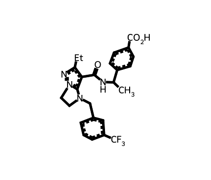 CCc1nn2c(c1C(=O)NC(C)c1ccc(C(=O)O)cc1)N(Cc1cccc(C(F)(F)F)c1)CC2